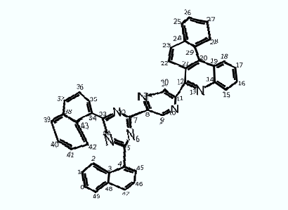 c1ccc2c(-c3nc(-c4cnc(-c5nc6ccccc6c6c5ccc5ccccc56)cn4)nc(-c4cccc5ccccc45)n3)cccc2c1